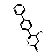 CC1CC(=O)NN=C1c1ccc(-c2cncnc2)cc1